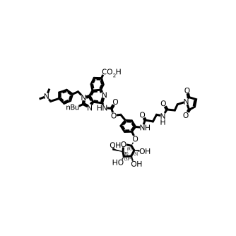 CCCCc1nc2c(NC(=O)OCc3ccc(O[C@H]4O[C@H](CO)[C@@H](O)[C@H](O)[C@@H]4O)c(NC(=O)CCNC(=O)CCN4C(=O)C=CC4=O)c3)nc3cc(C(=O)O)ccc3c2n1Cc1ccc(CN(C)C)cc1